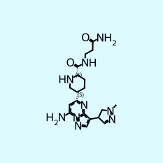 CN1CC(c2cnn3c(N)cc([C@H]4CC[C@@H](C(=O)NCCC(N)=O)NC4)nc23)C=N1